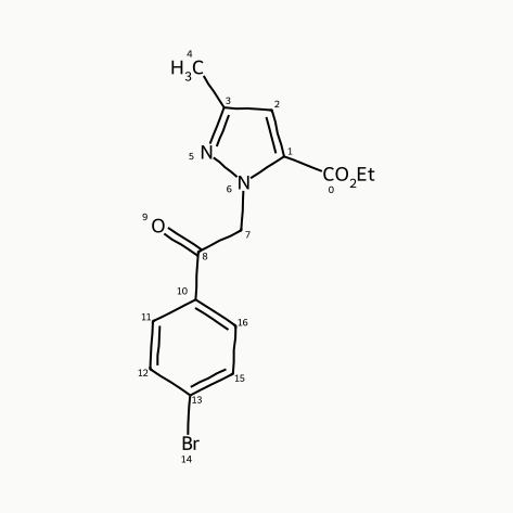 CCOC(=O)c1cc(C)nn1CC(=O)c1ccc(Br)cc1